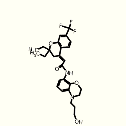 CCC1(CC)CC(=CC(=O)Nc2cccc3c2OCCN3CCCO)c2ccc(C(F)(F)F)cc2O1